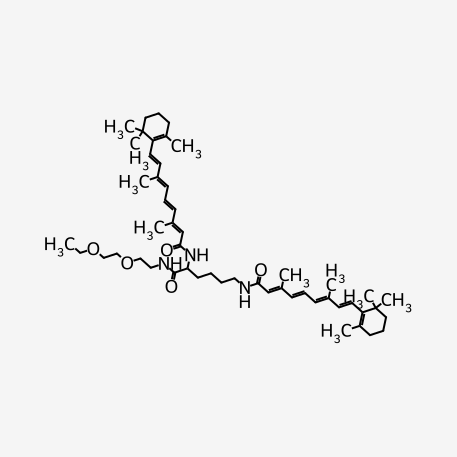 CCOCCOCCNC(=O)C(CCCCNC(=O)/C=C(C)/C=C/C=C(C)/C=C/C1=C(C)CCCC1(C)C)NC(=O)/C=C(C)/C=C/C=C(C)/C=C/C1=C(C)CCCC1(C)C